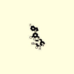 CC(C)(C)OC(=O)Nc1cc(CN2CCOc3c(Cl)cc(-n4ccc5cc(F)ccc54)cc3C2)ccn1